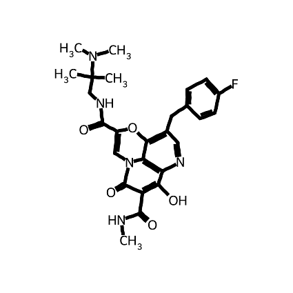 CNC(=O)c1c(O)c2ncc(Cc3ccc(F)cc3)c3c2n(c1=O)C=C(C(=O)NCC(C)(C)N(C)C)O3